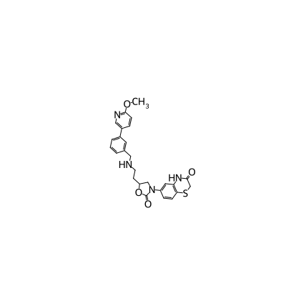 COc1ccc(-c2cccc(CNCCC3CN(c4ccc5c(c4)NC(=O)CS5)C(=O)O3)c2)cn1